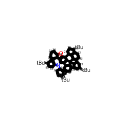 CC(C)(C)c1ccc(N(c2ccc(C(C)(C)C)cc2)c2cc3c(c4oc5ccccc5c24)-c2ccc(C(C)(C)C)c4cccc(c24)C3(c2ccc(C(C)(C)C)cc2)c2ccc(C(C)(C)C)cc2)cc1